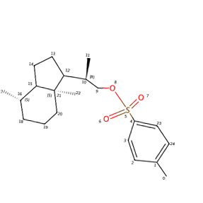 Cc1ccc(S(=O)(=O)OC[C@H](C)C2CCC3[C@@H](C)CCC[C@@]32C)cc1